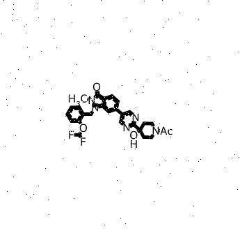 CC(=O)N1CCC(O)(c2ncc(-c3ccc4c(=O)n(C)n(Cc5ccccc5OC(F)F)c4c3)cn2)CC1